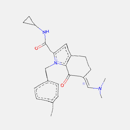 Cc1ccc(Cn2c(C(=O)NC3CC3)cc3c2C(=O)/C(=C/N(C)C)CC3)cc1